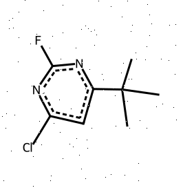 CC(C)(C)c1cc(Cl)nc(F)n1